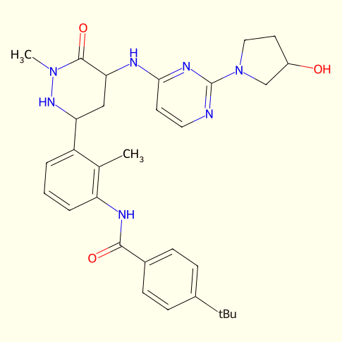 Cc1c(NC(=O)c2ccc(C(C)(C)C)cc2)cccc1C1CC(Nc2ccnc(N3CCC(O)C3)n2)C(=O)N(C)N1